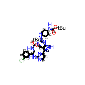 CC(C)(C)OC(=O)NCC(Nc1nccc(-c2n[nH]c3nc(N[C@H]4CC[C@H](NC(=O)OC(C)(C)C)CC4)ncc23)n1)c1cccc(Cl)c1